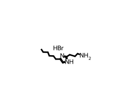 Br.CCCCCCc1c[nH]c(CCCN)n1